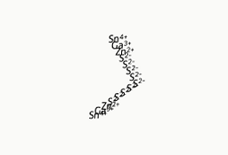 [Ga+3].[Ga+3].[S-2].[S-2].[S-2].[S-2].[S-2].[S-2].[S-2].[S-2].[S-2].[Sn+4].[Sn+4].[Zn+2].[Zn+2]